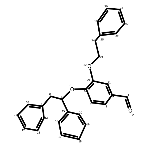 O=Cc1ccc(OC(Cc2ccccc2)c2ccccc2)c(OCCc2ccccc2)c1